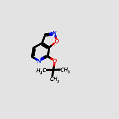 CC(C)(C)Oc1nccc2cnoc12